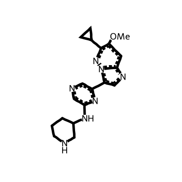 COc1cc2ncc(-c3cncc(NC4CCCNC4)n3)n2nc1C1CC1